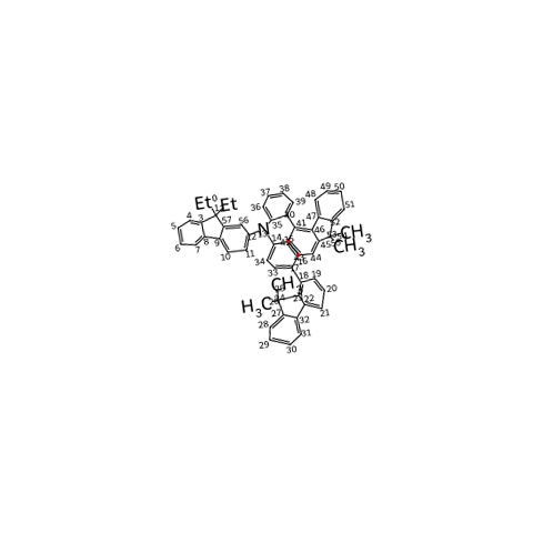 CCC1(CC)c2ccccc2-c2ccc(N(c3ccc(-c4cccc5c4C(C)(C)c4ccccc4-5)cc3)c3ccccc3-c3cccc4c3-c3ccccc3C4(C)C)cc21